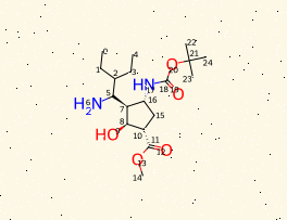 CCC(CC)C(N)[C@@H]1[C@H](O)[C@@H](C(=O)OC)C[C@H]1NC(=O)OC(C)(C)C